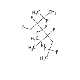 CCC(C)(C)C(F)(CF)C(F)(F)C(F)(CC(C)(F)F)C(C)(C)CC